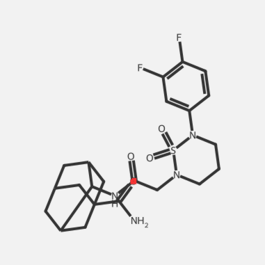 NC(=O)C12CC3CC(C1)C(NC(=O)CN1CCCN(c4ccc(F)c(F)c4)S1(=O)=O)C(C3)C2